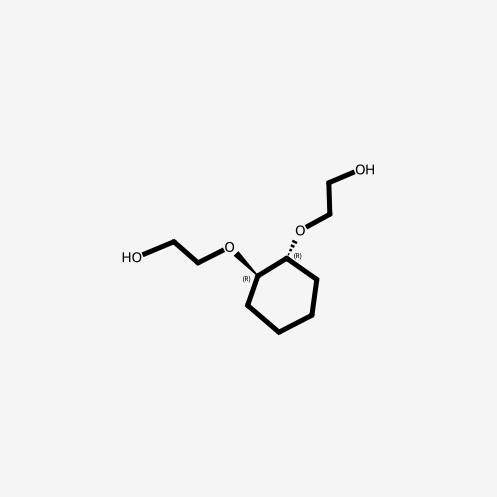 OCCO[C@@H]1CCCC[C@H]1OCCO